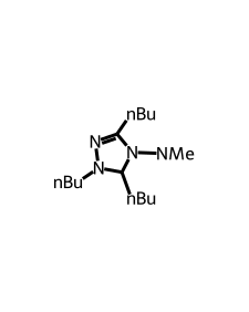 CCCCC1=NN(CCCC)C(CCCC)N1NC